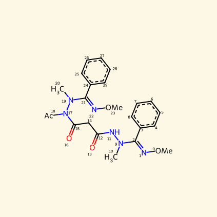 CO/N=C(\c1ccccc1)N(C)NC(=O)CC(=O)N(C(C)=O)N(C)/C(=N/OC)c1ccccc1